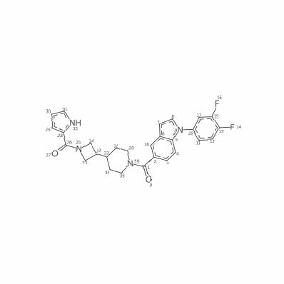 O=C(c1ccc2c(ccn2-c2ccc(F)c(F)c2)c1)N1CCC(C2CN(C(=O)c3ccc[nH]3)C2)CC1